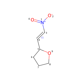 O=[N+]([O-])/C=C/C1CCCO1